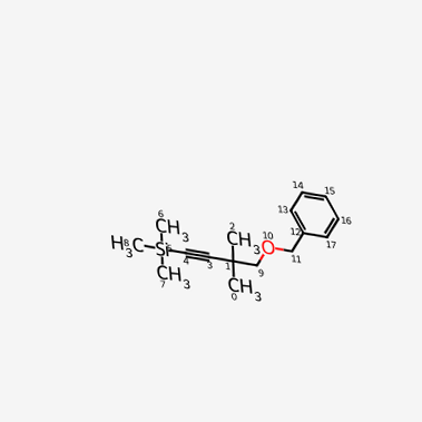 CC(C)(C#C[Si](C)(C)C)COCc1ccccc1